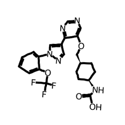 O=C(O)N[C@H]1CC[C@@H](COc2cncnc2-c2cnn(-c3ccccc3OC(F)(F)F)c2)CC1